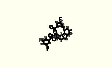 O=C(O[C@@H]1C2CC3C4c5c(cccc5-c5cc(F)cc(c5)C(=O)O[C@@H]31)CC42)c1cc(F)cc(F)c1